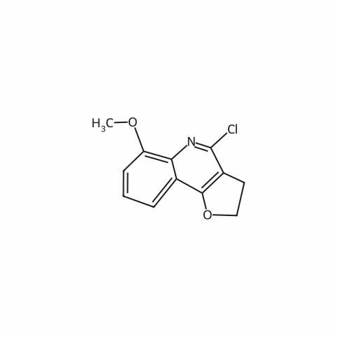 COc1cccc2c3c(c(Cl)nc12)CCO3